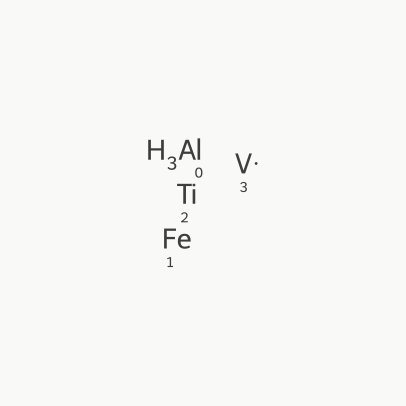 [AlH3].[Fe].[Ti].[V]